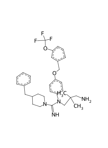 CC(C)(CN)CN(C(=N)N1CCC(Cc2ccccc2)CC1)c1ccc(OCc2cccc(OC(F)(F)F)c2)cc1